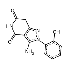 Nc1c2c(nn1-c1ccccc1O)CC(=O)NC2=O